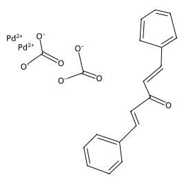 O=C(C=Cc1ccccc1)C=Cc1ccccc1.O=C([O-])[O-].O=C([O-])[O-].[Pd+2].[Pd+2]